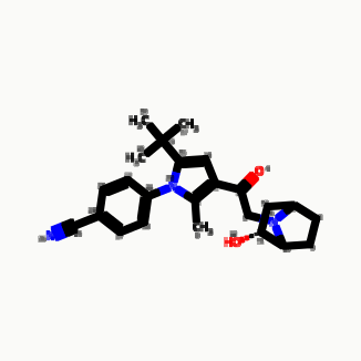 Cc1c(C(=O)CN2C3CCC2[C@H](O)C3)cc(C(C)(C)C)n1-c1ccc(C#N)cc1